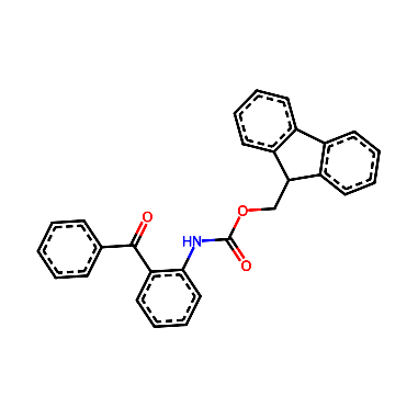 O=C(Nc1ccccc1C(=O)c1ccccc1)OCC1c2ccccc2-c2ccccc21